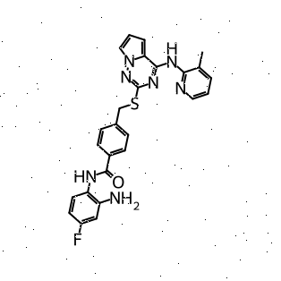 Cc1cccnc1Nc1nc(SCc2ccc(C(=O)Nc3ccc(F)cc3N)cc2)nn2cccc12